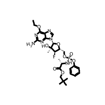 CCOc1nc(N)nc2c1ncn2[C@@H]1O[C@H](COP(=O)(N[C@@H](C)C(=O)OCC(C)(C)C)Oc2ccccc2)[C@@H](F)[C@@]1(C)O